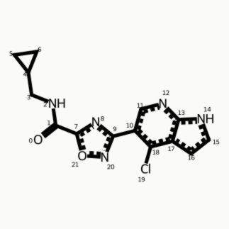 O=C(NCC1CC1)c1nc(-c2cnc3[nH]ccc3c2Cl)no1